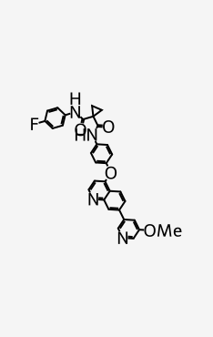 COc1cncc(-c2ccc3c(Oc4ccc(NC(=O)C5(C(=O)Nc6ccc(F)cc6)CC5)cc4)ccnc3c2)c1